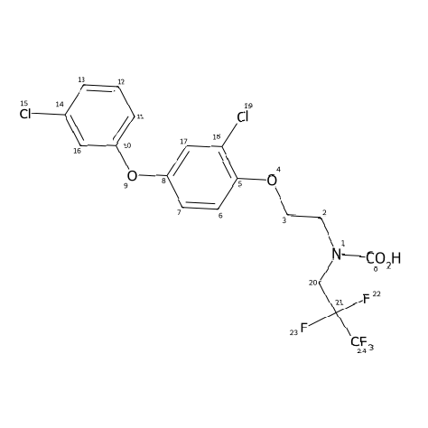 O=C(O)N(CCOc1ccc(Oc2cccc(Cl)c2)cc1Cl)CC(F)(F)C(F)(F)F